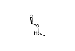 CBOC=O